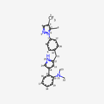 Cc1c(C(F)(F)F)cnn1-c1ccc(Cc2cc(-c3ccccc3N(C)C)c[nH]2)cc1